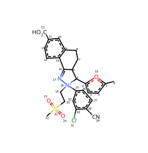 Cc1ccc(C2C3CCc4cc(C(=O)O)ccc4C3=N[N+]2(CCS(C)(=O)=O)c2ccc(C#N)c(Cl)c2)o1